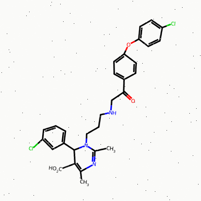 CC1=NC(C)=C(C(=O)O)C(c2cccc(Cl)c2)N1CCCNCC(=O)c1ccc(Oc2ccc(Cl)cc2)cc1